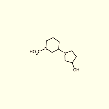 O=C(O)N1CCCC(N2CCC(O)C2)C1